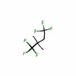 CC(C)(CC(F)(F)F)C(F)(F)F